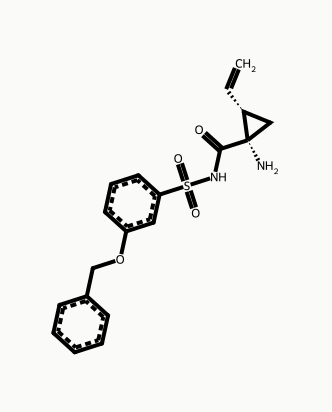 C=C[C@@H]1C[C@@]1(N)C(=O)NS(=O)(=O)c1cccc(OCc2ccccc2)c1